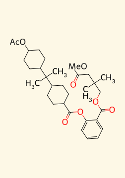 COC(=O)CC(C)(C)COC(=O)c1ccccc1OC(=O)C1CCC(C(C)(C)C2CCC(OC(C)=O)CC2)CC1